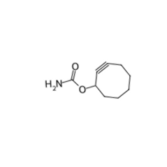 NC(=O)OC1C#CCCCCC1